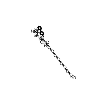 CCCCc1nc(Cl)c(CNC(=O)CCOCCOCCOCCOCCOCCOCCOCCOCCC)n1Cc1ccc(-c2ccccc2-c2nn[nH]n2)cc1